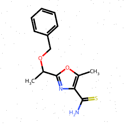 Cc1oc(C(C)OCc2ccccc2)nc1C(N)=S